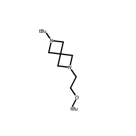 CC(C)(C)OCCN1CC2(C1)CN(C(C)(C)C)C2